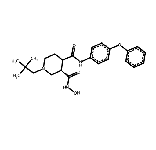 CC(C)(C)CN1CCC(C(=O)Nc2ccc(Oc3ccccc3)cc2)[C@@H](C(=O)NO)C1